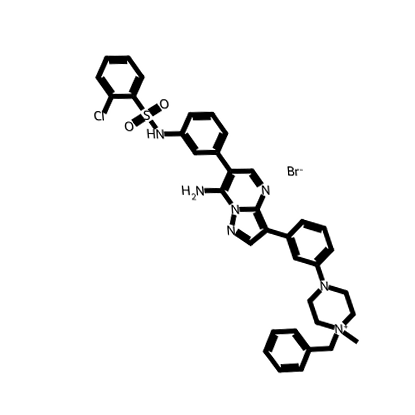 C[N+]1(Cc2ccccc2)CCN(c2cccc(-c3cnn4c(N)c(-c5cccc(NS(=O)(=O)c6ccccc6Cl)c5)cnc34)c2)CC1.[Br-]